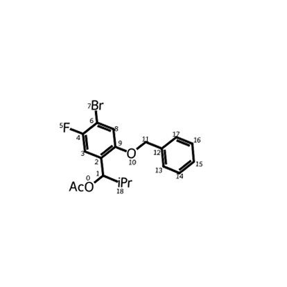 CC(=O)OC(c1cc(F)c(Br)cc1OCc1ccccc1)C(C)C